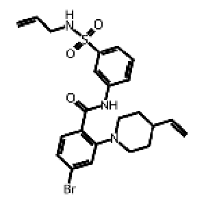 C=CCNS(=O)(=O)c1cccc(NC(=O)c2ccc(Br)cc2N2CCC(C=C)CC2)c1